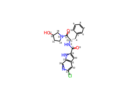 O=C(N[C@@H](Cc1ccccc1)C(=O)N1CCC(O)C1)c1cc2cc(Cl)ncc2[nH]1